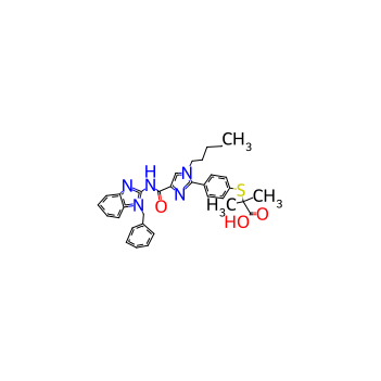 CCCCCn1cc(C(=O)Nc2nc3ccccc3n2Cc2ccccc2)nc1-c1ccc(SC(C)(C)C(=O)O)cc1